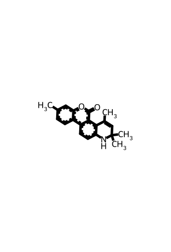 CC1=CC(C)(C)Nc2ccc3c(c21)c(=O)oc1cc(C)ccc13